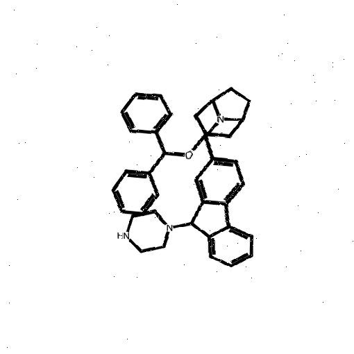 c1ccc(C(OC2CC3CCC(C2)N3Cc2ccc3c(c2)C(N2CCNCC2)c2ccccc2-3)c2ccccc2)cc1